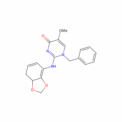 COc1cn(Cc2ccccc2)c(NC2=C3OCOC3CC=C2)nc1=O